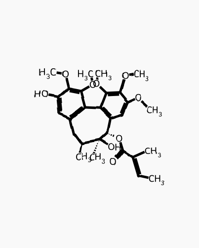 C/C=C(\C)C(=O)O[C@H]1c2cc(OC)c(OC)c(OC)c2-c2c(cc(O)c(OC)c2OC)C[C@H](C)[C@]1(C)O